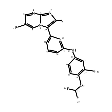 Cc1nc2ncc(F)cn2c1-c1cccc(Nc2ccc(OC(F)F)c(F)c2)n1